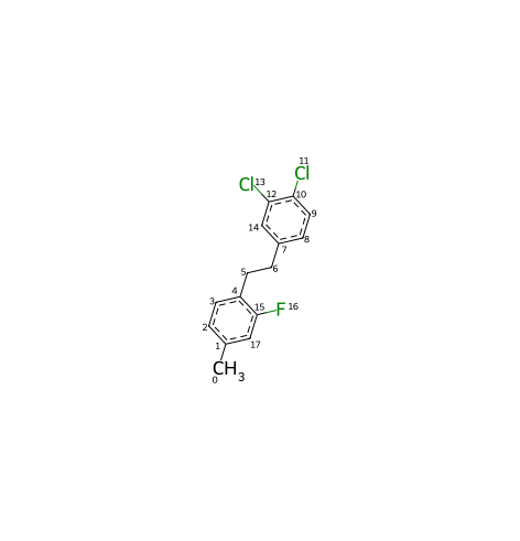 Cc1ccc(CCc2ccc(Cl)c(Cl)c2)c(F)c1